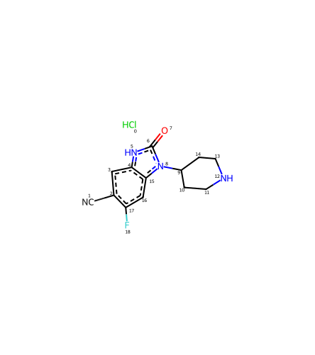 Cl.N#Cc1cc2[nH]c(=O)n(C3CCNCC3)c2cc1F